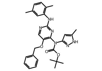 Cc1ccc(C)c(Nc2ncc(OCc3ccccc3)c(N(C(=O)OC(C)(C)C)c3cc(C)[nH]n3)n2)c1